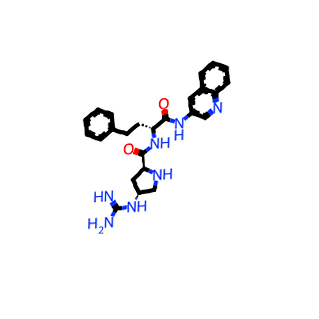 N=C(N)N[C@H]1CN[C@H](C(=O)N[C@H](CCc2ccccc2)C(=O)Nc2cnc3ccccc3c2)C1